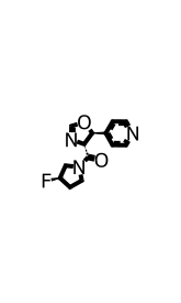 O=C([C@@H]1N=CO[C@H]1c1ccncc1)N1CC[C@@H](F)C1